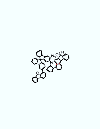 CC1(C)c2ccccc2-c2ccc(N(c3ccc4c(c3)C(c3ccccc3)(c3ccc(-c5cccc6c5oc5ccccc56)cc3)c3ccccc3-4)c3ccccc3-c3ccccc3)cc21